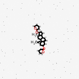 C=CC[C@]12CC[C@H](OC3CCCCO3)CC1=CCC1C2CC[C@@]2(C)C1CC[C@@H]2OC1CCCCO1